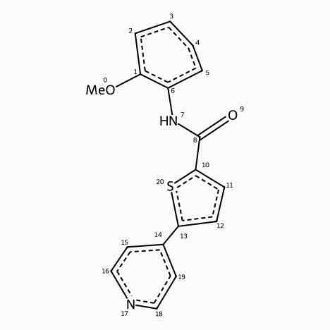 COc1ccccc1NC(=O)c1ccc(-c2ccncc2)s1